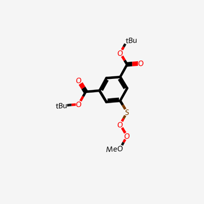 COOOSc1cc(C(=O)OC(C)(C)C)cc(C(=O)OC(C)(C)C)c1